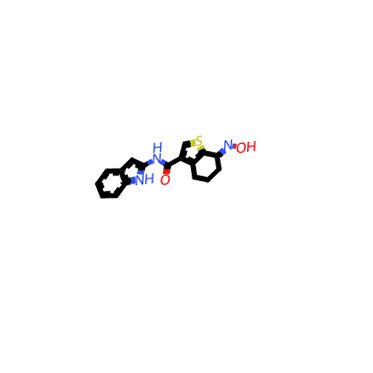 O=C(Nc1cc2ccccc2[nH]1)c1csc2c1CCCC2=NO